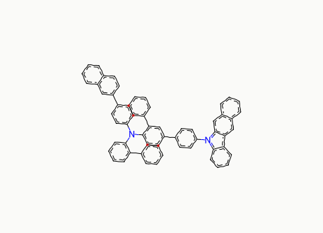 c1ccc(-c2ccccc2N(c2ccc(-c3ccc4ccccc4c3)cc2)c2ccc(-c3ccc(-n4c5ccccc5c5cc6ccccc6cc54)cc3)cc2-c2ccccc2)cc1